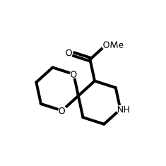 COC(=O)C1CNCCC12OCCCO2